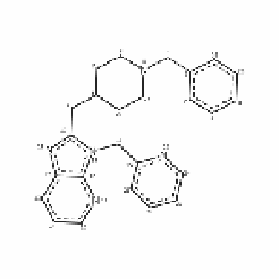 c1ccc(CN2CCC(Cc3nc4cccnc4n3Cc3ccccn3)CC2)cc1